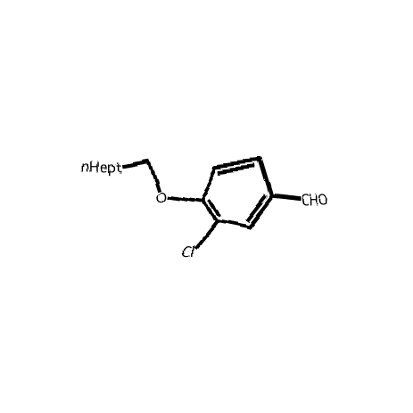 CCCCCCCCOc1ccc(C=O)cc1Cl